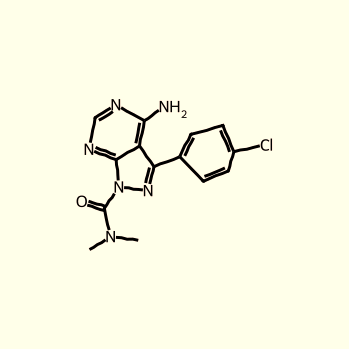 CN(C)C(=O)n1nc(-c2ccc(Cl)cc2)c2c(N)ncnc21